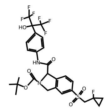 CC(C)(C)OC(=O)N1Cc2cc(S(=O)(=O)CC3(F)CC3)ccc2C1C(=O)Nc1ccc(C(O)(C(F)(F)F)C(F)(F)F)cc1